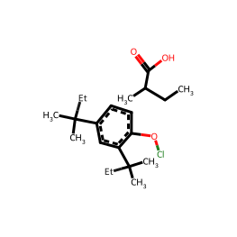 CCC(C)(C)c1ccc(OCl)c(C(C)(C)CC)c1.CCC(C)C(=O)O